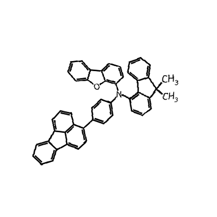 CC1(C)c2ccccc2-c2c(N(c3ccc(-c4ccc5c6c(cccc46)-c4ccccc4-5)cc3)c3cccc4c3oc3ccccc34)cccc21